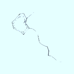 COCCCOc1ccccc1C(C)=O